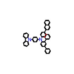 c1ccc(-c2ccc(N(c3ccc(-c4ccc5ccccc5c4)cc3)c3ccc(-n4c5ccccc5c5ccccc54)cc3)c(-c3ccccc3)c2)cc1